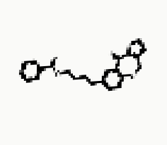 O=C(OCCCCc1ccc2c(c1)C(=O)c1sccc1CO2)c1ccccc1